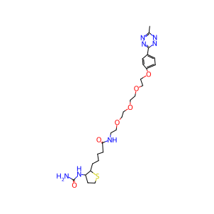 Cc1nnc(-c2ccc(OCCOCCOCCOCCNC(=O)CCCCC3SCCC3NC(N)=O)cc2)nn1